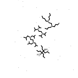 CC(C)CN(CCN(CC(C)C)CC(C)C)CC(C)C.CC(C)N(CCN(C(C)C)C(C)C)C(C)C.CCCC(N)(CCC)C(N)(CCC)CCC.CCCCN(CCCC)CCN(CCCC)CCCC